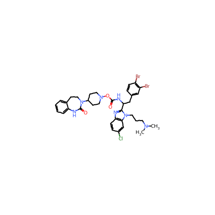 CN(C)CCCn1c(C(Cc2ccc(Br)c(Br)c2)NC(=O)ON2CCC(N3CCc4ccccc4NC3=O)CC2)nc2ccc(Cl)cc21